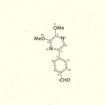 COc1ncc(-c2ccc(C=O)cc2)nc1OC